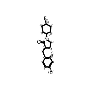 O=C1C(Cc2ccc(Br)cc2Cl)CCN1C1CCC(F)CC1